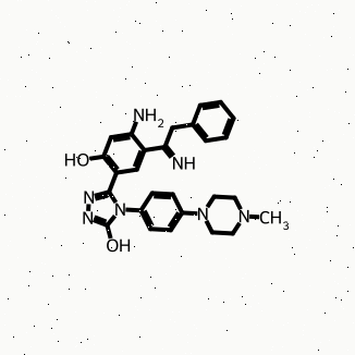 CN1CCN(c2ccc(-n3c(O)nnc3-c3cc(C(=N)Cc4ccccc4)c(N)cc3O)cc2)CC1